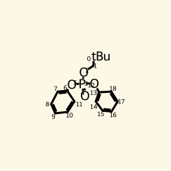 CC(C)(C)COP(=O)(Oc1ccccc1)Oc1ccccc1